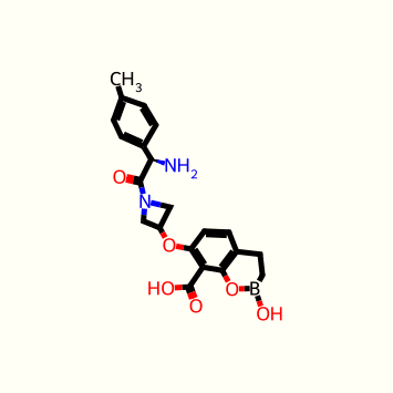 Cc1ccc([C@@H](N)C(=O)N2CC(Oc3ccc4c(c3C(=O)O)OB(O)CC4)C2)cc1